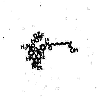 CCc1nc2c(cnn2CC)c(NC2CCN(C(N)=O)CC2)c1CNC(=O)c1ccc(NC(=O)CCCCCCCN(C)CCO)cc1.O=C(O)C(F)(F)F